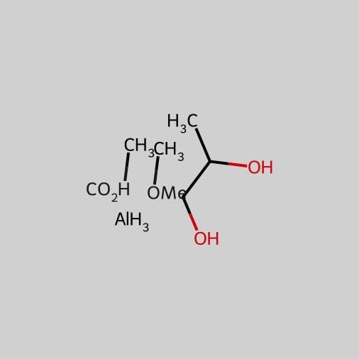 CC(=O)O.CC(O)CO.COC.[AlH3]